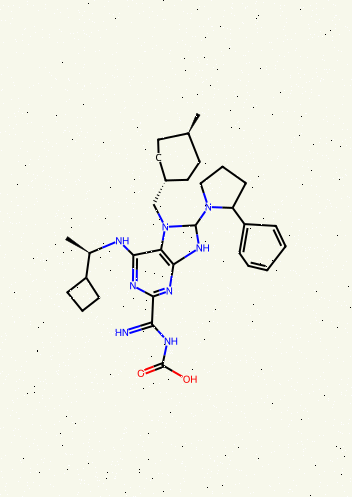 C[C@@H](Nc1nc(C(=N)NC(=O)O)nc2c1N(C[C@H]1CC[C@H](C)CC1)C(N1CCCC1c1ccccc1)N2)C1CCC1